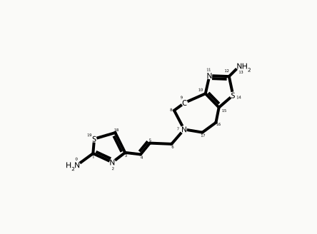 Nc1nc(/C=C/CN2CCc3nc(N)sc3CC2)cs1